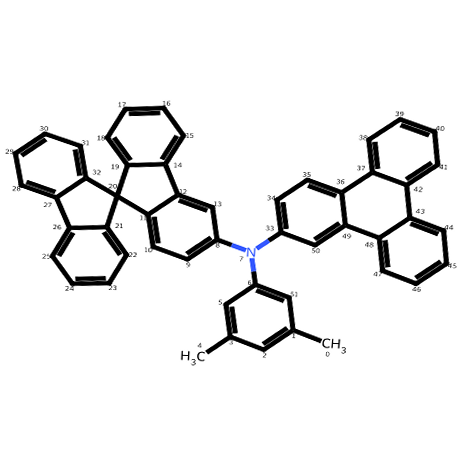 Cc1cc(C)cc(N(c2ccc3c(c2)-c2ccccc2C32c3ccccc3-c3ccccc32)c2ccc3c4ccccc4c4ccccc4c3c2)c1